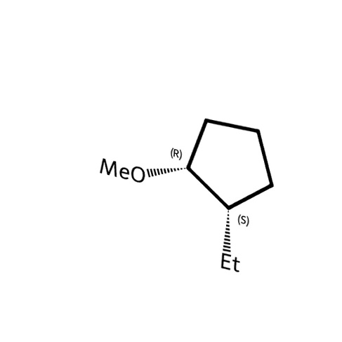 CC[C@H]1CCC[C@H]1OC